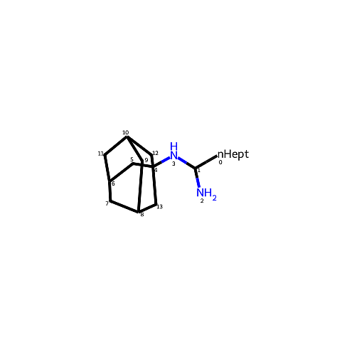 CCCCCCCC(N)NC12CC3CC(CC(C3)C1)C2